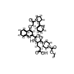 CCOC(=O)N1CCN(C(=O)C(CCC(=O)O)NC(=O)c2cc(OCC(=O)N3CCCC3c3ccccn3)c3ccccc3n2)CC1